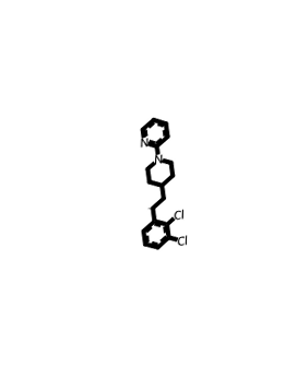 Clc1cccc([CH]CC2CCN(c3ccccn3)CC2)c1Cl